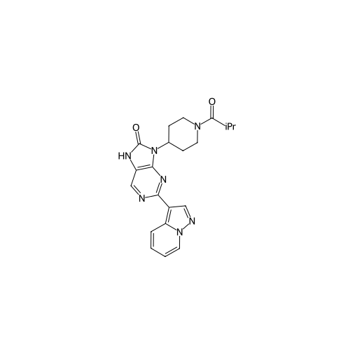 CC(C)C(=O)N1CCC(n2c(=O)[nH]c3cnc(-c4cnn5ccccc45)nc32)CC1